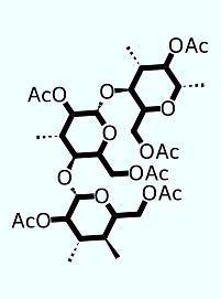 CC(=O)OCC1O[C@@H](O[C@@H]2C(COC(C)=O)O[C@@H](O[C@@H]3C(COC(C)=O)O[C@@H](C)C(OC(C)=O)[C@H]3C)C(OC(C)=O)[C@H]2C)C(OC(C)=O)[C@@H](C)[C@@H]1C